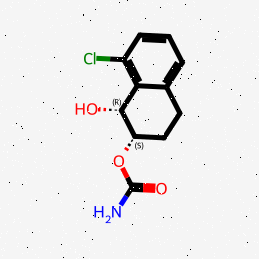 NC(=O)O[C@H]1CCc2cccc(Cl)c2[C@H]1O